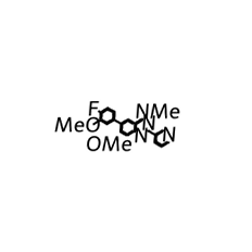 CNc1nc(-c2cccnc2)nc2c(OC)cc(-c3ccc(F)c(OC)c3)cc12